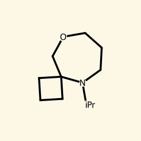 CC(C)N1CCCOCC12CCC2